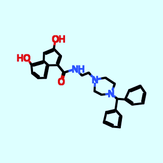 O=C(NCCN1CCN(C(c2ccccc2)c2ccccc2)CC1)c1cc(O)cc2c(O)cccc12